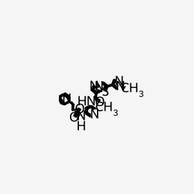 Cc1ncc(NS(=O)(=O)CCN2CC3CCC2CC3)cc1NC(=O)c1cnn2cc(-c3cnn(C)c3)sc12